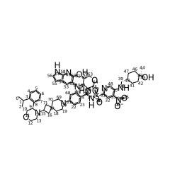 CC(C)c1ccccc1[C@@H]1COCCN1C1CC2(CCN(c3ccc(C(=O)NS(=O)(=O)c4cc([N+](=O)[O-])c(NC[C@H]5CC[C@](C)(O)CC5)cn4)c(N4c5cc6cc[nH]c6nc5O[C@H]5COCC[C@@H]54)c3)CC2)C1